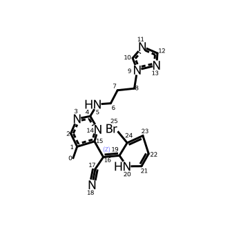 Cc1cnc(NCCCn2cncn2)nc1/C(C#N)=C1/NC=CC=C1Br